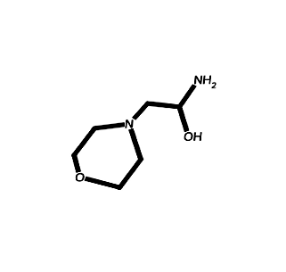 NC(O)CN1CCOCC1